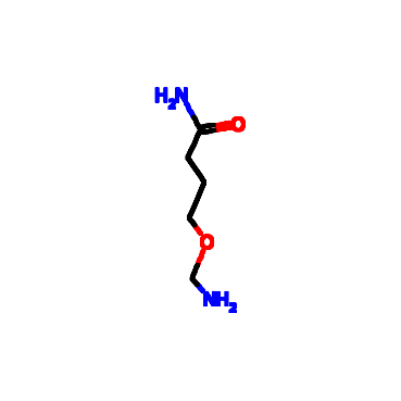 NCOCCCC(N)=O